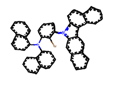 Brc1c(N(c2cccc3ccccc23)c2cccc3ccccc23)cccc1-n1c2cc3ccccc3cc2c2c3ccccc3ccc21